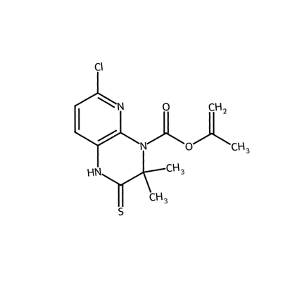 C=C(C)OC(=O)N1c2nc(Cl)ccc2NC(=S)C1(C)C